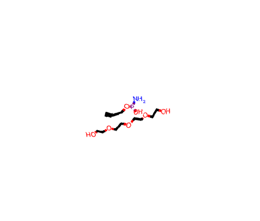 C#CCOP(N)O.OCCOCCOCCOCCO